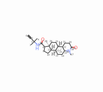 C#CC(C)(C)NC(=O)C1CC[C@H]2[C@@H]3CCC4N(C)C(=O)CC[C@]4(C)[C@@H]3CC[C@]12C